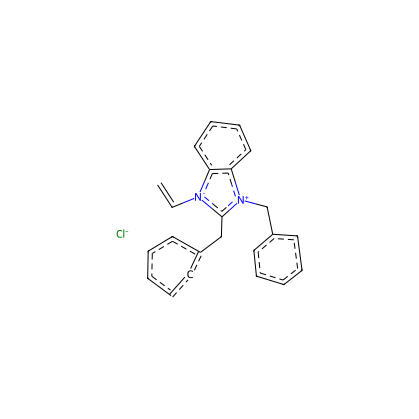 C=Cn1c(Cc2ccccc2)[n+](Cc2ccccc2)c2ccccc21.[Cl-]